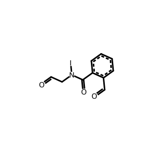 O=CCN(I)C(=O)c1ccccc1C=O